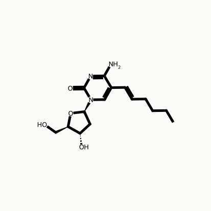 CCCCC=Cc1cn([C@H]2C[C@H](O)[C@@H](CO)O2)c(=O)nc1N